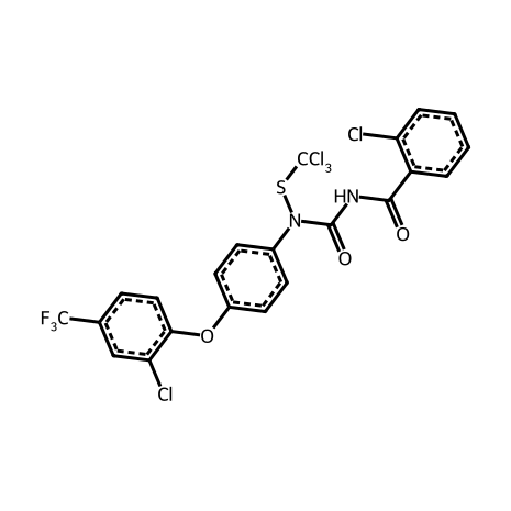 O=C(NC(=O)N(SC(Cl)(Cl)Cl)c1ccc(Oc2ccc(C(F)(F)F)cc2Cl)cc1)c1ccccc1Cl